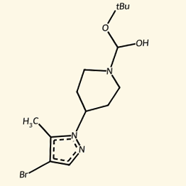 Cc1c(Br)cnn1C1CCN(C(O)OC(C)(C)C)CC1